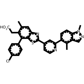 Cc1cc2nc(-c3ccnc(-c4ccc5c(cnn5C)c4C)c3)sc2c(-c2ccc(Cl)cc2)c1CC(=O)O